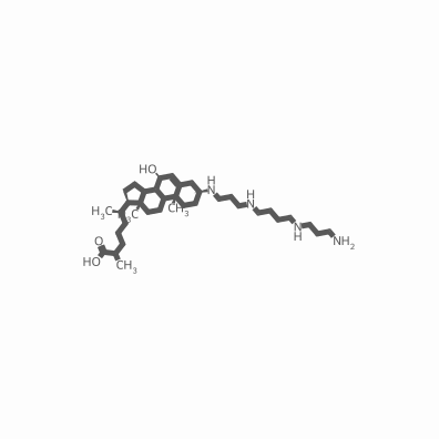 CC(CCC[C@@H](C)[C@H]1CCC2C3C(CC[C@@]21C)[C@@]1(C)CC[C@H](NCCCNCCCCNCCCN)CC1=C[C@H]3O)C(=O)O